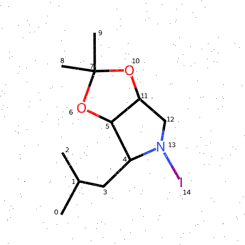 CC(C)CC1C2OC(C)(C)OC2CN1I